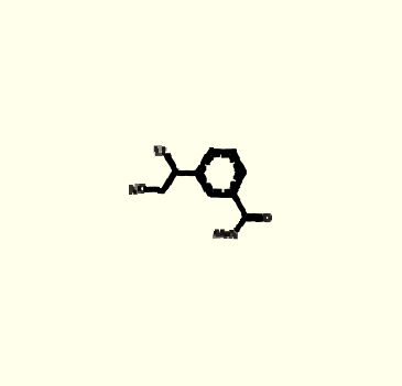 CCC(CC#N)c1cccc(C(=O)NC)c1